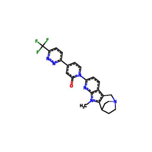 Cn1c2c(c3ccc(-n4ccc(-c5ccc(C(F)(F)F)nn5)cc4=O)nc31)CN1CCC2CC1